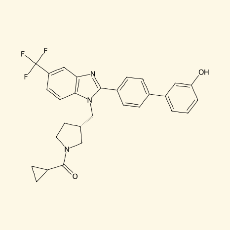 O=C(C1CC1)N1CC[C@H](Cn2c(-c3ccc(-c4cccc(O)c4)cc3)nc3cc(C(F)(F)F)ccc32)C1